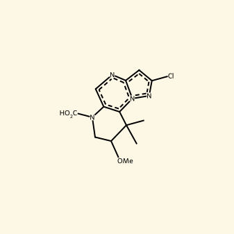 COC1CN(C(=O)O)c2cnc3cc(Cl)nn3c2C1(C)C